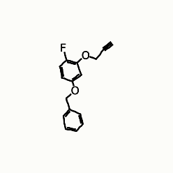 C#CCOc1cc(OCc2ccccc2)ccc1F